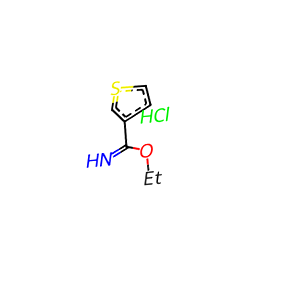 CCOC(=N)c1ccsc1.Cl